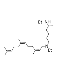 CCNC(C)CCCCN(CC)CC=C(C)CCC=C(C)CCC=C(C)C